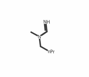 CCCCN(C)C=N